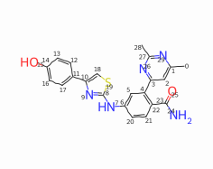 Cc1cc(-c2cc(Nc3nc(-c4ccc(O)cc4)cs3)ccc2C(N)=O)nc(C)n1